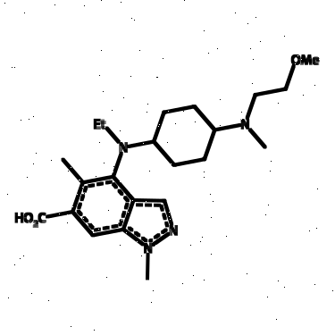 CCN(c1c(C)c(C(=O)O)cc2c1cnn2C)C1CCC(N(C)CCOC)CC1